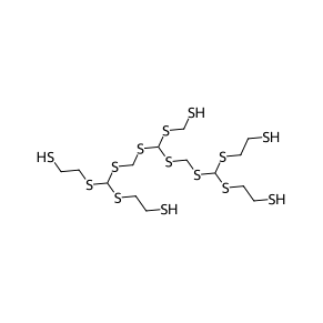 SCCSC(SCCS)SCSC(SCS)SCSC(SCCS)SCCS